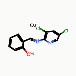 Oc1ccccc1C=Nc1ncc(Cl)cc1Cl.[Cu]